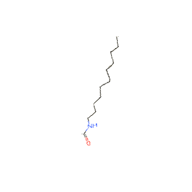 [CH2]CCCCCCCCCCN[C]=O